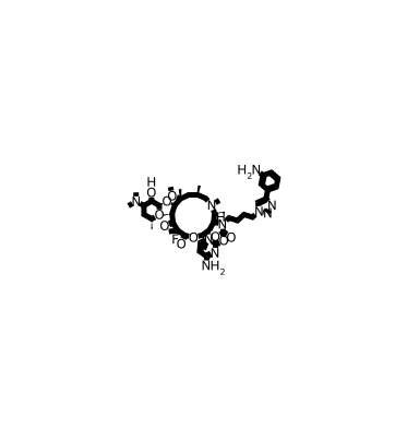 CC[C@H]1OC(=O)C(C)(F)C(=O)[C@H](C)[C@@H](O[C@@H]2O[C@H](C)CC(N(C)C)C2O)[C@](C)(OC)C[C@@H](C)CN(C)[C@H](C)[C@H]2N(CCCCn3cc(-c4cccc(N)c4)nn3)C(=O)O[C@]12n1ccc(N)nc1=O